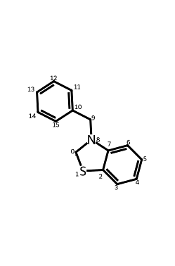 [CH]1Sc2ccccc2N1Cc1ccccc1